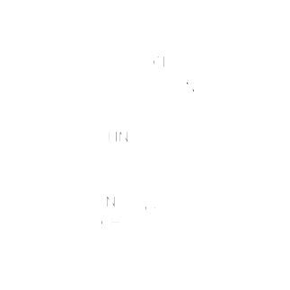 Cn1ccc2[nH]c(-c3ccnc(Cl)c3)cc2c1=O